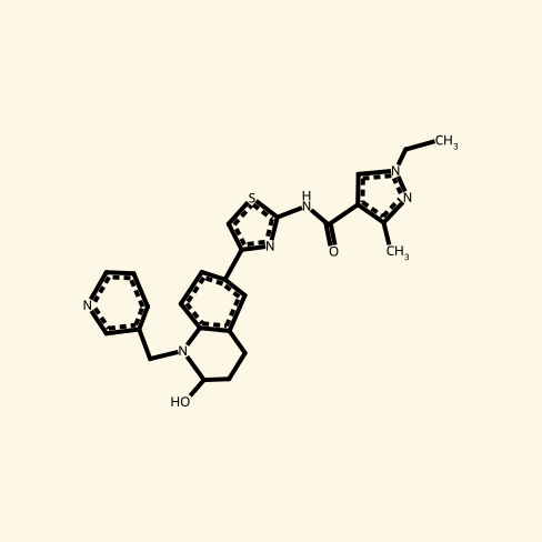 CCn1cc(C(=O)Nc2nc(-c3ccc4c(c3)CCC(O)N4Cc3cccnc3)cs2)c(C)n1